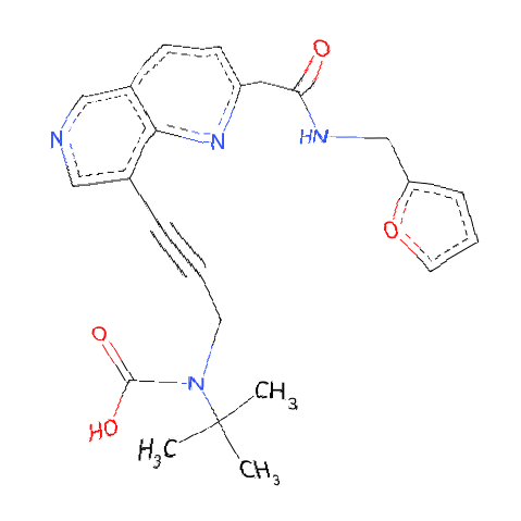 CC(C)(C)N(CC#Cc1cncc2ccc(C(=O)NCc3ccco3)nc12)C(=O)O